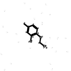 Cc1ccc(OCC(F)(F)F)c(Cl)c1